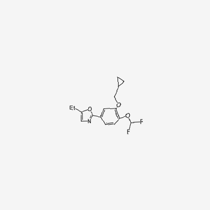 CCc1cnc(-c2ccc(OC(F)F)c(OCC3CC3)c2)o1